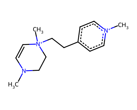 CN1C=C[N+](C)(CCc2cc[n+](C)cc2)CC1